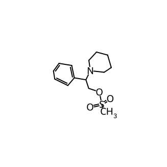 CS(=O)(=O)OCC(c1ccccc1)N1CCCCC1